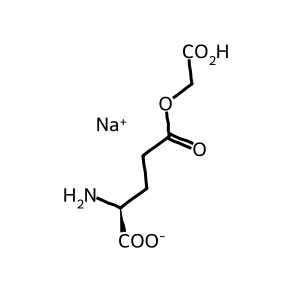 N[C@@H](CCC(=O)OCC(=O)O)C(=O)[O-].[Na+]